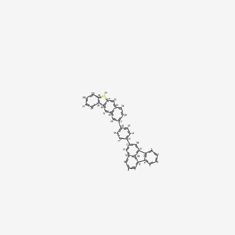 c1ccc2c(c1)-c1cccc3cc(-c4ccc(-c5ccc6cc7sc8ccccc8c7cc6c5)cc4)cc-2c13